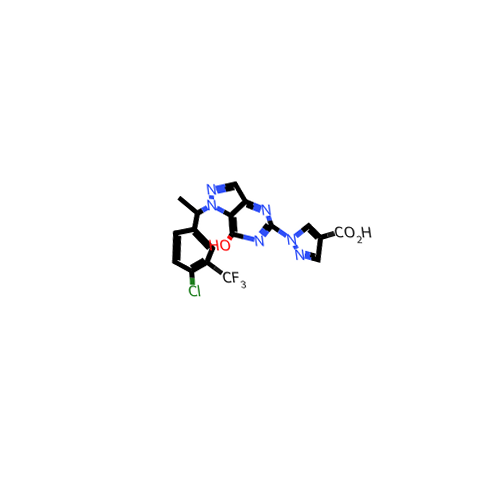 CC(c1ccc(Cl)c(C(F)(F)F)c1)n1ncc2nc(-n3cc(C(=O)O)cn3)nc(O)c21